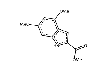 COC(=O)c1cc2c(OC)cc(OC)cc2[nH]1